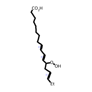 CC/C=C/CC(/C=C/C=C/CCCCCCCC(=O)O)OO